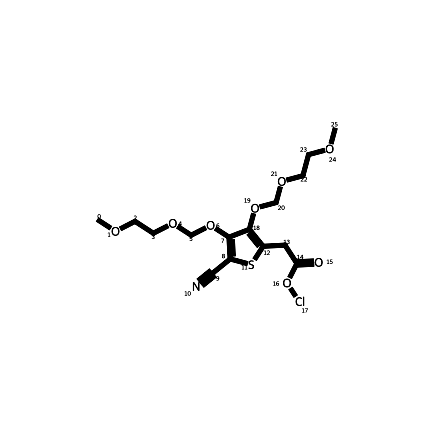 COCCOCOc1c(C#N)sc(CC(=O)OCl)c1OCOCCOC